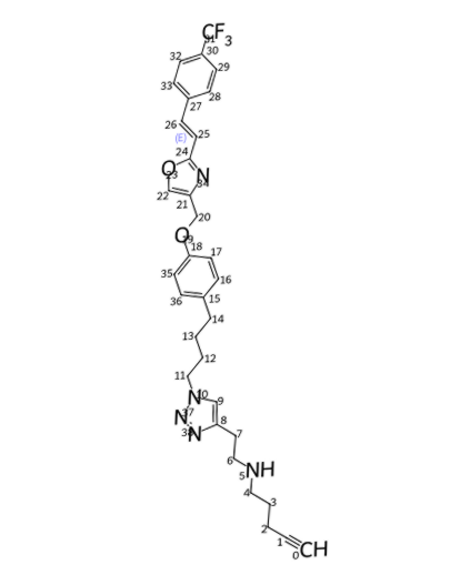 C#CCCCNCCc1cn(CCCCc2ccc(OCc3coc(/C=C/c4ccc(C(F)(F)F)cc4)n3)cc2)nn1